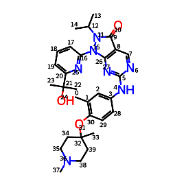 Cc1cc(Nc2ncc3c(=O)n(C(C)C)n(-c4cccc(C(C)(C)O)n4)c3n2)ccc1OC1(C)CCN(C)CC1